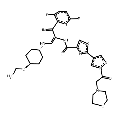 CCO[C@H]1CC[C@H](N/C=C(/NC(=O)c2csc(-c3cnn(C(=O)CN4CCOCC4)c3)n2)C(=N)c2nc(F)ccc2F)CC1